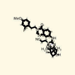 COc1ccc(CCn2cnc3cc(N/C(=N/C4C[C@@H]5C[C@H]([C@@H]4C)C5(C)C)N(C)CCC#N)ccc3c2=O)c(F)c1